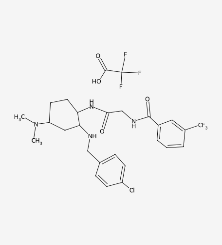 CN(C)C1CCC(NC(=O)CNC(=O)c2cccc(C(F)(F)F)c2)C(NCc2ccc(Cl)cc2)C1.O=C(O)C(F)(F)F